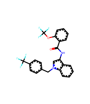 O=C(Nc1cn(Cc2ccc(C(F)(F)F)cc2)c2ccccc12)c1ccccc1OC(F)(F)F